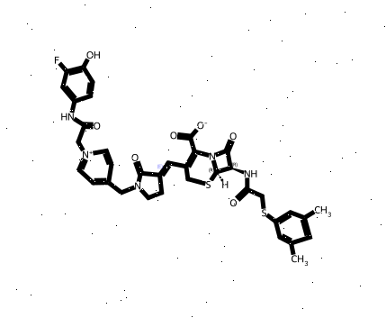 Cc1cc(C)cc(SCC(=O)N[C@@H]2C(=O)N3C(C(=O)[O-])=C(/C=C4\CCN(Cc5cc[n+](CC(=O)Nc6ccc(O)c(F)c6)cc5)C4=O)CS[C@H]23)c1